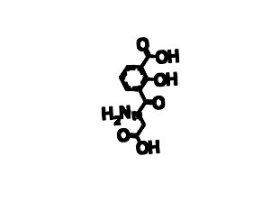 N[C@@H](CC(=O)O)C(=O)c1cccc(C(=O)O)c1O